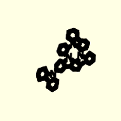 c1ccc2c(c1)c1ccccc1n2-c1ccc2c(c1)c1ccc3c4ccccc4n4c5cccc6c7ccccc7n(c7ccccc7n2c1c34)c65